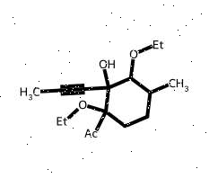 CC#CC1(O)C(OCC)C(C)CCC1(OCC)C(C)=O